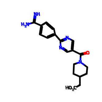 N=C(N)c1ccc(-c2ncc(C(=O)N3CCC(CC(=O)O)CC3)cn2)cc1